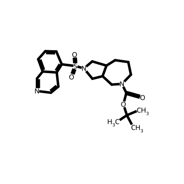 CC(C)(C)OC(=O)N1CCCC2CN(S(=O)(=O)c3cccc4cnccc34)CC2C1